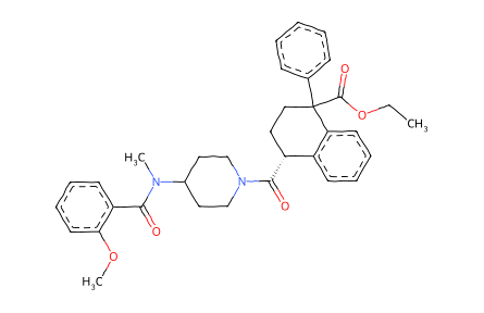 CCOC(=O)C1(c2ccccc2)CC[C@@H](C(=O)N2CCC(N(C)C(=O)c3ccccc3OC)CC2)c2ccccc21